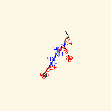 CCCCC(CC)COCC(O)CN(CCNCCNCCNCCNCC(O)COCCC[Si](OC)(OC)OC)CC(O)COCCC[Si](OC)(OC)OC